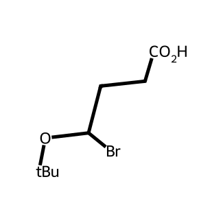 CC(C)(C)OC(Br)CCC(=O)O